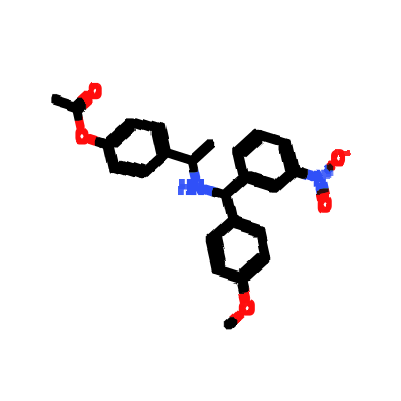 COc1ccc(C(NC(C)c2ccc(OC(C)=O)cc2)c2cccc([N+](=O)[O-])c2)cc1